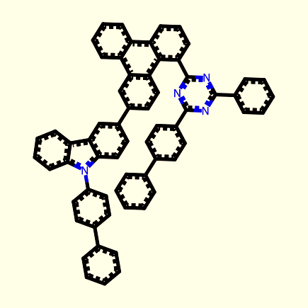 c1ccc(-c2ccc(-c3nc(-c4ccccc4)nc(-c4cccc5c6ccccc6c6cc(-c7ccc8c(c7)c7ccccc7n8-c7ccc(-c8ccccc8)cc7)ccc6c45)n3)cc2)cc1